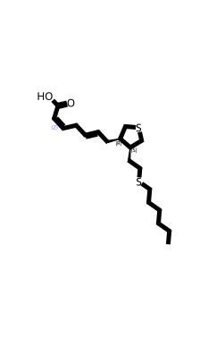 CCCCCCSCC[C@@H]1CSC[C@@H]1CC=CC/C=C\C(=O)O